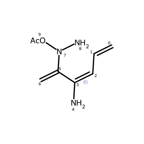 C=C/C=C(/N)C(=C)N(N)OC(C)=O